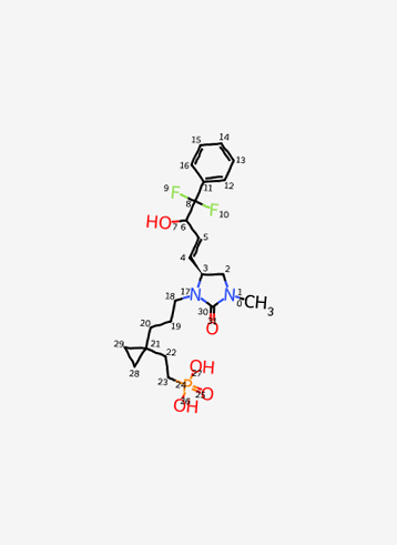 CN1C[C@H](/C=C/C(O)C(F)(F)c2ccccc2)N(CCCC2(CCP(=O)(O)O)CC2)C1=O